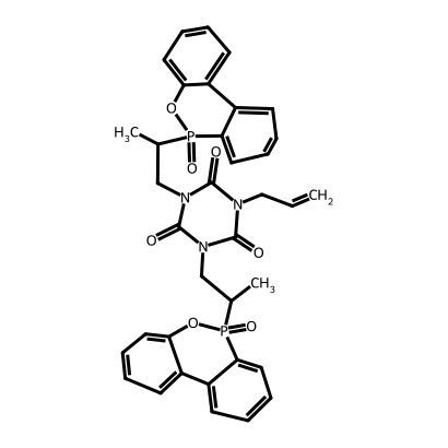 C=CCn1c(=O)n(CC(C)P2(=O)Oc3ccccc3-c3ccccc32)c(=O)n(CC(C)P2(=O)Oc3ccccc3-c3ccccc32)c1=O